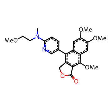 COCCN(C)c1ccc(-c2c3c(c(OC)c4cc(OC)c(OC)cc24)C(=O)OC3)cn1